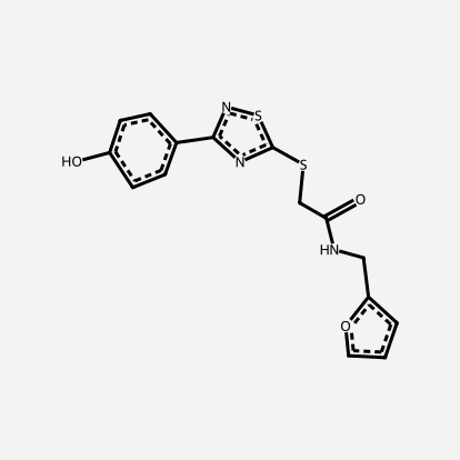 O=C(CSc1nc(-c2ccc(O)cc2)ns1)NCc1ccco1